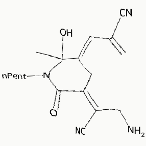 C=C(C#N)/C=C1\C/C(=C(/C#N)CN)C(=O)N(CCCCC)C1(C)O